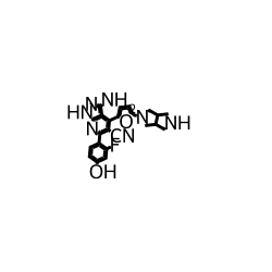 N#Cc1c(-c2ccc(O)cc2F)nc2[nH]nc(N)c2c1-c1ccc(N2CC3CNCC3C2)o1